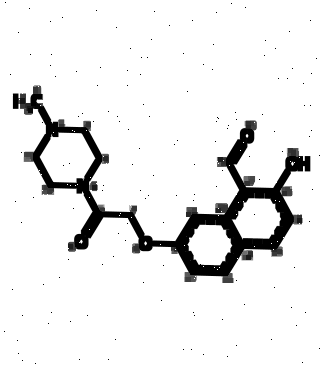 CN1CCN(C(=O)COc2ccc3ccc(O)c(C=O)c3c2)CC1